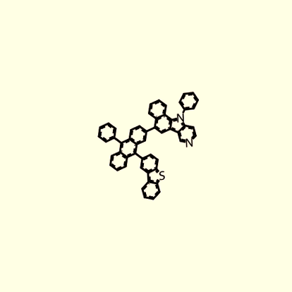 c1ccc(-c2c3ccccc3c(-c3ccc4sc5ccccc5c4c3)c3cc(-c4cc5c6cnccc6n(-c6ccccc6)c5c5ccccc45)ccc23)cc1